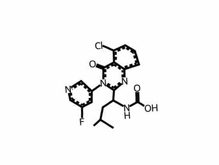 CC(C)CC(NC(=O)O)c1nc2cccc(Cl)c2c(=O)n1-c1cncc(F)c1